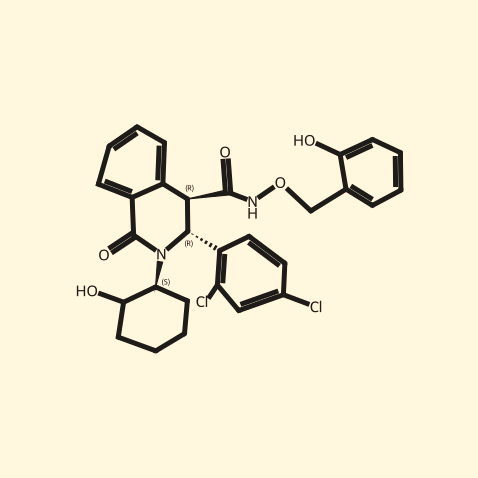 O=C(NOCc1ccccc1O)[C@@H]1c2ccccc2C(=O)N([C@H]2CCCCC2O)[C@H]1c1ccc(Cl)cc1Cl